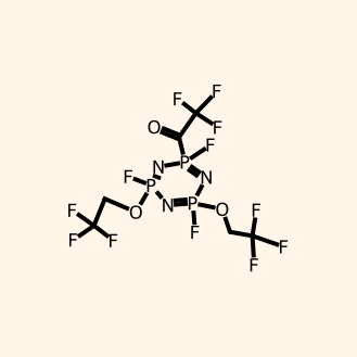 O=C(C(F)(F)F)P1(F)=NP(F)(OCC(F)(F)F)=NP(F)(OCC(F)(F)F)=N1